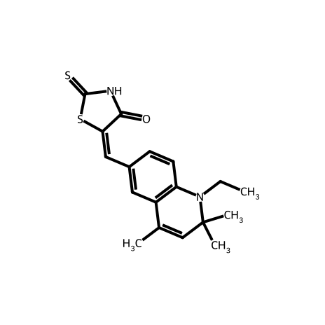 CCN1c2ccc(C=C3SC(=S)NC3=O)cc2C(C)=CC1(C)C